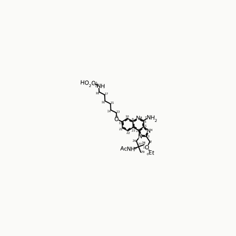 CCOCc1nc2c(N)nc3cc(OCCCCCCNC(=O)O)ccc3c2n1CC(C)(C)NC(C)=O